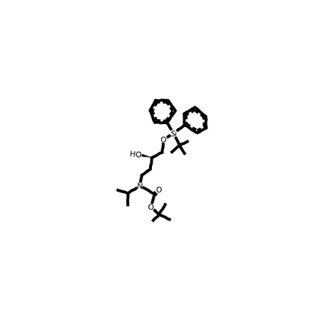 CC(C)N(CC[C@@H](O)CO[Si](c1ccccc1)(c1ccccc1)C(C)(C)C)C(=O)OC(C)(C)C